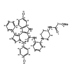 COCC(=O)NC1CCN(c2ncccc2NC(=O)c2[nH]c3cc(Cl)ccc3c2-c2c(-c3ccccc3)ncn2[C@@H](C)c2ccc(Cl)cc2)CC1